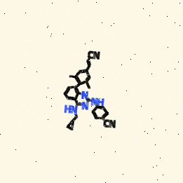 Cc1cc(/C=C/C#N)cc(C)c1-c1cccc2c(NCC3CC3)nc(Nc3ccc(C#N)cc3)nc12